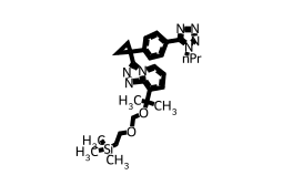 CCCn1nnnc1-c1ccc(C2(c3nnc4c(C(C)(C)OCOCC[Si](C)(C)C)cccn34)CC2)cc1